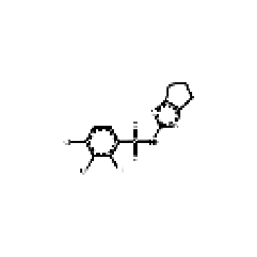 O=S(=O)(Nc1nc2c(s1)CCC2)c1ccc(Cl)c(Cl)c1Cl